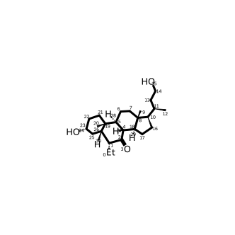 CC[C@H]1C(=O)[C@@H]2[C@H](CC[C@]3(C)[C@@H]([C@H](C)CCO)CC[C@@H]23)[C@@]2(C)CC[C@@H](O)C[C@@H]12